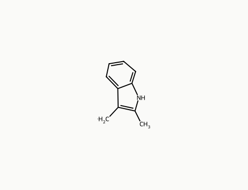 [CH2]c1c(C)[nH]c2ccccc12